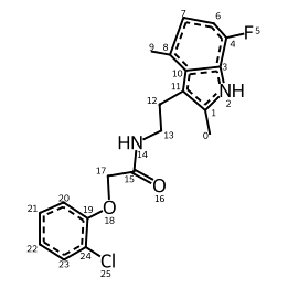 Cc1[nH]c2c(F)ccc(C)c2c1CCNC(=O)COc1ccccc1Cl